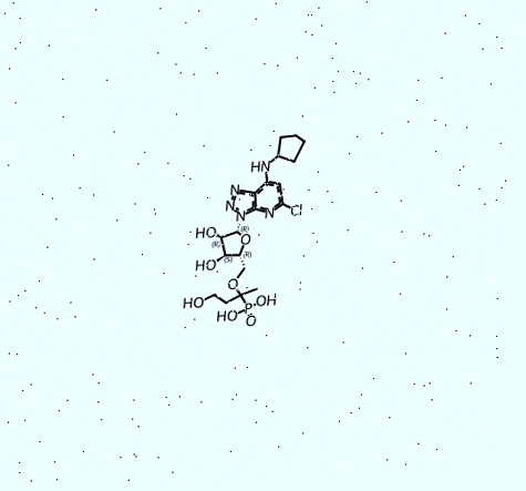 CC(CCO)(OC[C@H]1O[C@@H](n2nnc3c(NC4CCCC4)cc(Cl)nc32)[C@H](O)[C@@H]1O)P(=O)(O)O